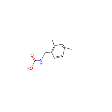 Cc1ccc([CH]NC(=O)O)c(C)c1